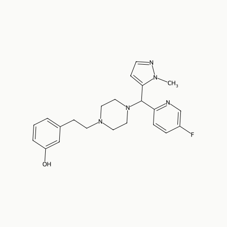 Cn1nccc1C(c1ccc(F)cn1)N1CCN(CCc2cccc(O)c2)CC1